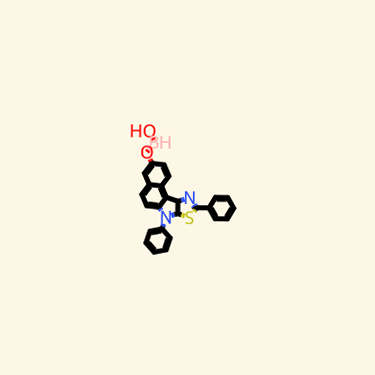 OBOc1ccc2c3c(ccc2c1)N(c1ccccc1)C1SC(c2ccccc2)=NC31